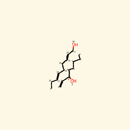 C=CC(O)CCCCC.CCC=CCCC=CCO